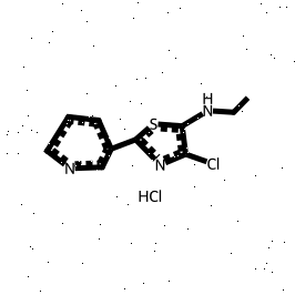 CCNc1sc(-c2cccnc2)nc1Cl.Cl